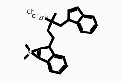 C[C]([Zr+2])(CCC1C2=C(c3ccccc31)[Si]2(C)C)CC1C=Cc2ccccc21.[Cl-].[Cl-]